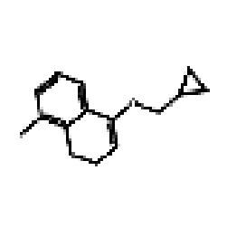 Cc1cccc2c1CCC=C2OCC1CC1